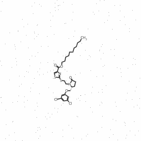 CCCCCCCCCCCOC(=O)c1csc(SCCN2C(=O)CC[C@@H]2COc2cc(Cl)cc(Cl)c2)n1